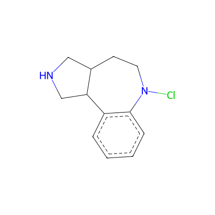 ClN1CCC2CNCC2c2ccccc21